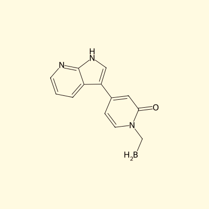 BCn1ccc(-c2c[nH]c3ncccc23)cc1=O